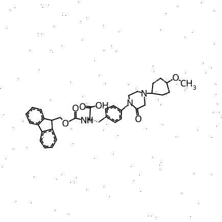 COC1CCC(N2CCN(c3ccc(C[C@H](NC(=O)OCC4c5ccccc5-c5ccccc54)C(=O)O)cc3)C(=O)C2)CC1